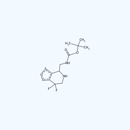 CC(C)(C)OC(=O)NCC1NCC(F)(F)c2ccsc21